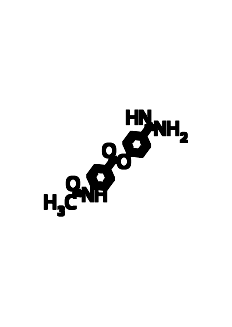 CC(=O)Nc1ccc(C(=O)Oc2ccc(C(=N)N)cc2)cc1